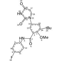 COc1c(C(=O)Nc2ccc(F)cc2)cc(-n2ccc(=O)[nH]c2=O)cc1C(C)(C)C